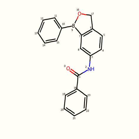 O=C(Nc1ccc2c(c1)B(c1ccccc1)OC2)c1ccccc1